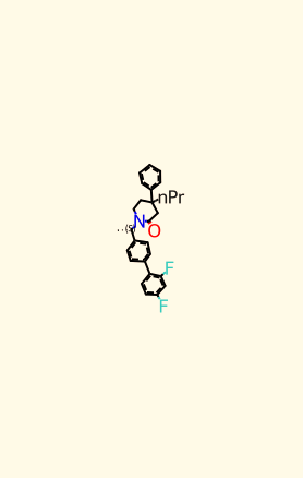 CCCC1(c2ccccc2)CCN([C@@H](C)c2ccc(-c3ccc(F)cc3F)cc2)C(=O)C1